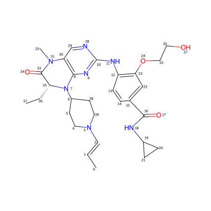 CC=CN1CCC(N2c3nc(Nc4ccc(C(=O)NC5CC5)cc4OCCO)ncc3N(C)C(=O)[C@H]2CC)CC1